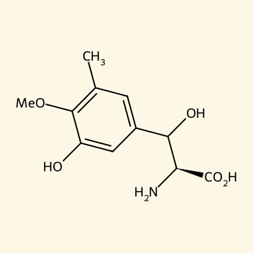 COc1c(C)cc(C(O)[C@H](N)C(=O)O)cc1O